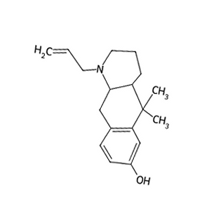 C=CCN1CCCC2C1Cc1ccc(O)cc1C2(C)C